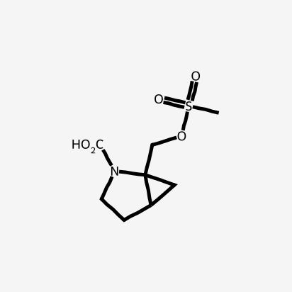 CS(=O)(=O)OCC12CC1CCN2C(=O)O